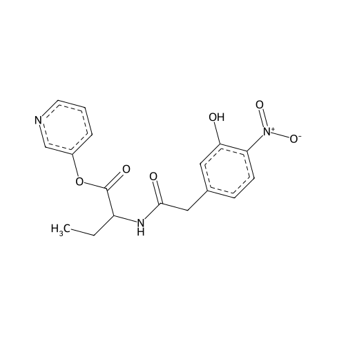 CCC(NC(=O)Cc1ccc([N+](=O)[O-])c(O)c1)C(=O)Oc1cccnc1